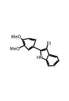 CCc1c(-c2ccc(OC)c(OC)c2)[nH]c2ccccc12